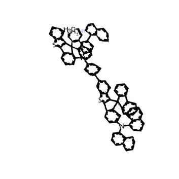 C=CC1=C(/C=C\C)c2ccccc2C12c1c(cccc1N(c1ccc(-c3ccc4c5c(sc4c3)-c3ccc(N(c4cccc6ccccc46)c4cccc6ccccc46)cc3C53c4ccccc4-c4ccccc43)cc1)c1ccc(-c3cccc4ccccc34)cc1)-c1sc3ccccc3c12